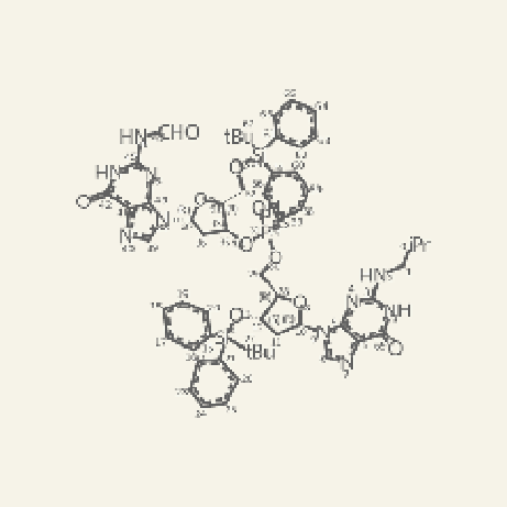 CC(C)CNc1nc2c(ncn2[C@H]2C[C@H](O[Si](c3ccccc3)(c3ccccc3)C(C)(C)C)[C@@H](CO[P@@](O)(=S)O[C@H]3C[C@H](n4cnc5c(=O)[nH]c(NC=O)nc54)O[C@@H]3CO[Si](c3ccccc3)(c3ccccc3)C(C)(C)C)O2)c(=O)[nH]1